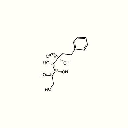 O=C[C@@](O)(CCc1ccccc1)[C@@H](O)[C@H](O)[C@H](O)CO